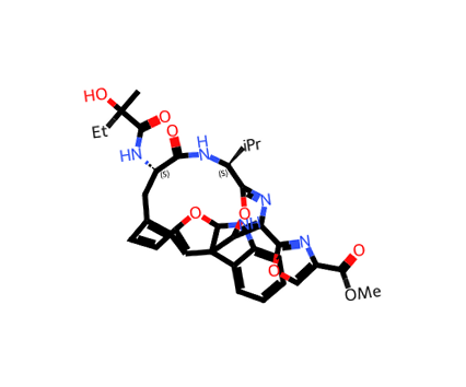 CCC(C)(O)C(=O)N[C@H]1Cc2ccc3c(c2)C2(c4ccccc4NC2O3)c2oc(nc2-c2nc(C(=O)OC)co2)[C@H](C(C)C)NC1=O